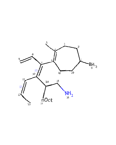 BC1CCC(C)=C(/C(C=C)=C(/C=C\C)C(CN)CCCCCCCC)CC1